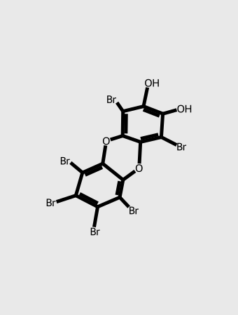 Oc1c(O)c(Br)c2c(c1Br)Oc1c(Br)c(Br)c(Br)c(Br)c1O2